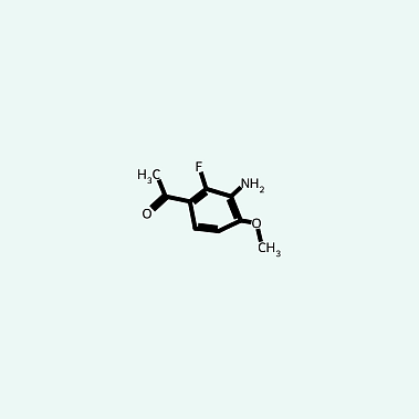 COc1ccc(C(C)=O)c(F)c1N